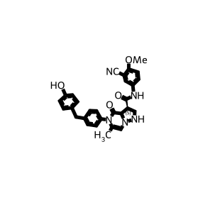 COc1ccc(NC(=O)[C@H]2CNN3C=C(C)N(c4ccc(Cc5ccc(O)cc5)cc4)C(=O)C23)cc1C#N